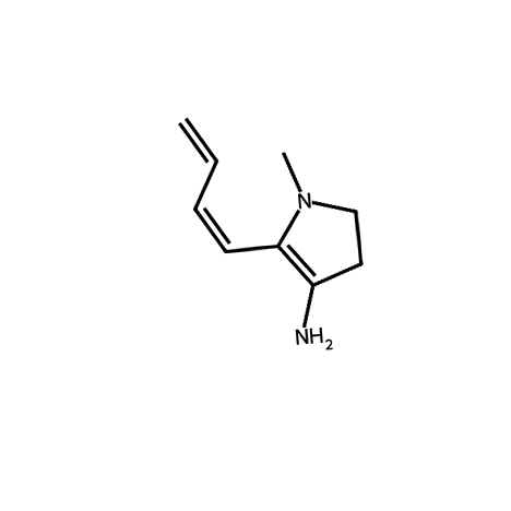 C=C/C=C\C1=C(N)CCN1C